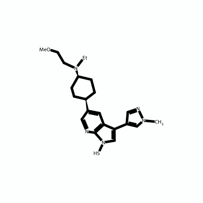 CCN(CCOC)[C@H]1CC[C@@H](c2cnc3c(c2)c(-c2cnn(C)c2)cn3S)CC1